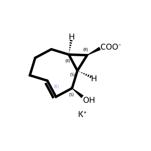 O=C([O-])[C@@H]1[C@@H]2CCC/C=C/[C@H](O)[C@@H]21.[K+]